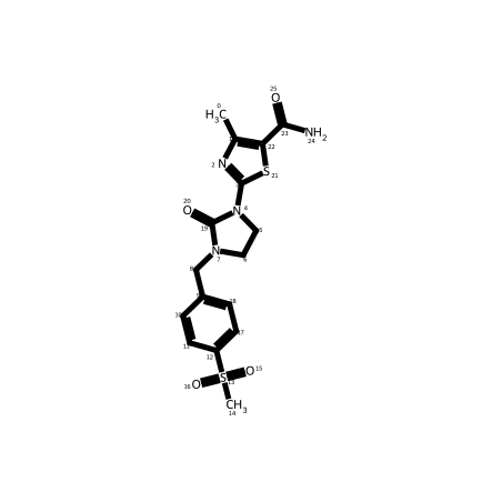 Cc1nc(N2CCN(Cc3ccc(S(C)(=O)=O)cc3)C2=O)sc1C(N)=O